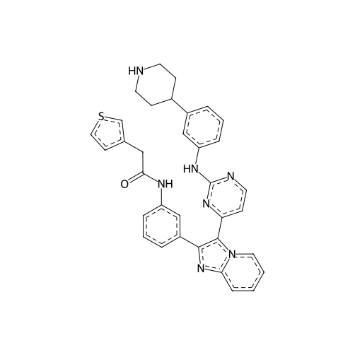 O=C(Cc1ccsc1)Nc1cccc(-c2nc3ccccn3c2-c2ccnc(Nc3cccc(C4CCNCC4)c3)n2)c1